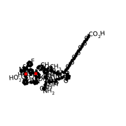 COc1ccccc1-c1nccc(COc2ccccc2C[C@@H](Oc2ncnc3sc(-c4ccc(F)cc4)c(-c4ccc(OCCN5CC[N+](C)(Cc6ccc(NC(=O)[C@H](CCCNC(N)=O)NC(=O)[C@@H](NC(=O)CCOCCN7C(=O)C=CC7=O)C(C)C)cc6CN(C)C(=O)OCc6cn(CCOCCOCCOCCOCCOCCOCCOCCOCCC(=O)O)nn6)CC5)c(Cl)c4C)c23)C(=O)O)n1